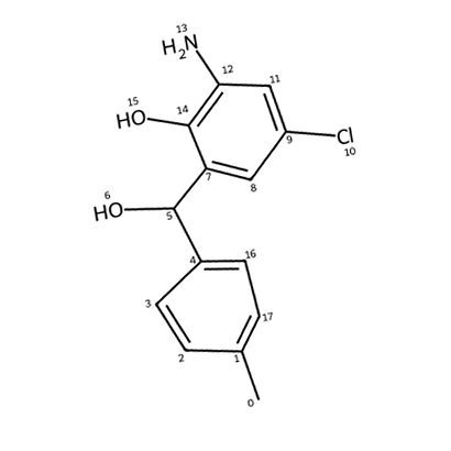 Cc1ccc(C(O)c2cc(Cl)cc(N)c2O)cc1